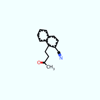 CC(=O)CCc1c(C#N)ccc2ccccc12